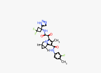 Cc1ccc(NC(=O)c2c(C)c(C(=O)C(=O)NC3(c4cnn[nH]4)CC(F)(F)C3)n3c2[C@@H]2C[C@@H]2C3)cc1F